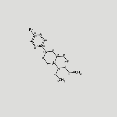 CCCC(CC)N1CCN(c2ccc(F)cc2)CC1CF